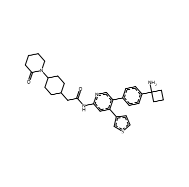 NC1(c2ccc(-c3cnc(NC(=O)CC4CCC(N5CCCCC5=O)CC4)cc3-c3ccsc3)cc2)CCC1